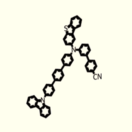 N#Cc1ccc(-c2cccc(N(c3ccc(-c4ccc(-c5ccc(-n6c7ccccc7c7ccccc76)cc5)cc4)cc3)c3ccc4sc5ccccc5c4c3)c2)cc1